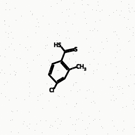 Cc1cc(Cl)ccc1C(=S)S